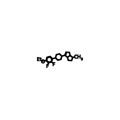 CCOc1ccc(C2CCC(C3=CCC4C(C)CCC34)CC2)c(F)c1F